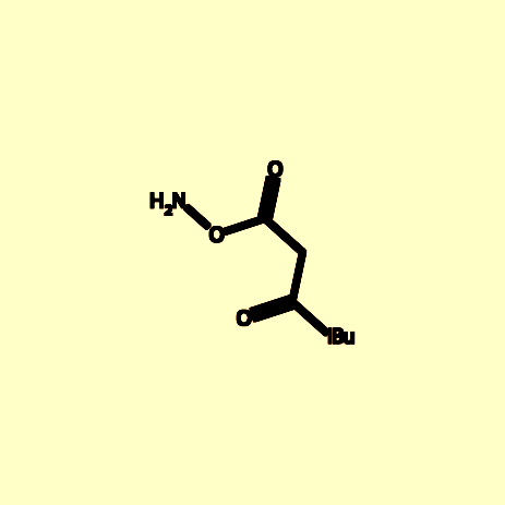 CCC(C)C(=O)CC(=O)ON